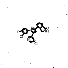 O=C1NCc2c1cccc2-c1cc(-c2cncc(Cl)c2)n(-c2ccc(F)c(Cl)c2)n1